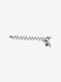 C1CNCCN1.CCCC.CCCCCCCCCCCCCCCCCCCCCCBr.N.N